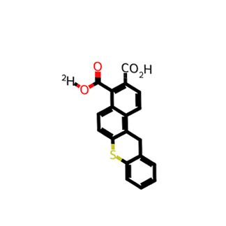 [2H]OC(=O)c1c(C(=O)O)ccc2c3c(ccc12)Sc1ccccc1C3